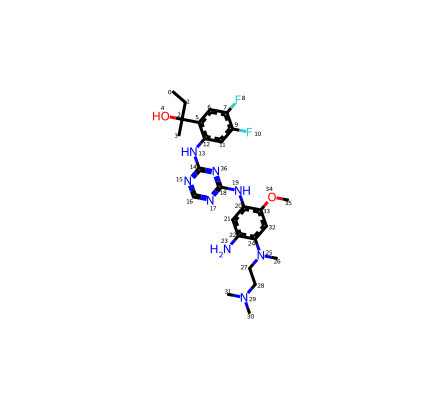 CCC(C)(O)c1cc(F)c(F)cc1Nc1ncnc(Nc2cc(N)c(N(C)CCN(C)C)cc2OC)n1